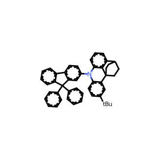 CC(C)(C)c1ccc2c(c1)C13CCC(CC1)c1cccc(c13)N2c1ccc2c(c1)C(c1ccccc1)(c1ccccc1)c1ccccc1-2